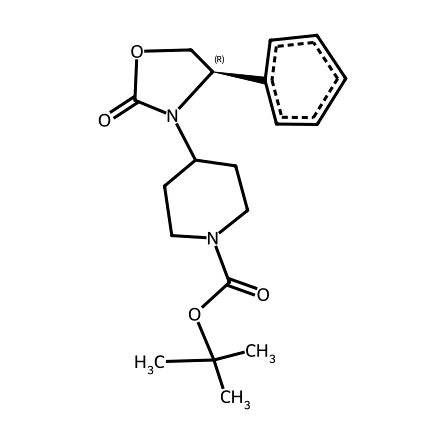 CC(C)(C)OC(=O)N1CCC(N2C(=O)OC[C@H]2c2ccccc2)CC1